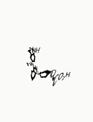 O=C(O)COc1ccc(-n2nc(Nc3ccc4[nH]ncc4c3)c3ccccc32)cc1